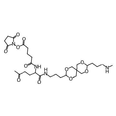 CNCCCC1OCC2(CO1)COC(CCCNC(=O)C(CCC(C)=O)NC(=O)CCCC(=O)ON1C(=O)CCC1=O)OC2